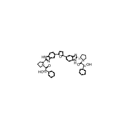 O=C([C@H](O)c1ccccc1)N1CCC[C@H]1c1nc2cc(-c3ccc(-c4ccc5[nH]c([C@@H]6CCCN6C(=O)[C@H](O)c6ccccc6)nc5c4)o3)ccc2[nH]1